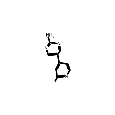 Cc1cc(-c2cnc(N)nc2)ccn1